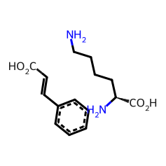 NCCCC[C@H](N)C(=O)O.O=C(O)C=Cc1ccccc1